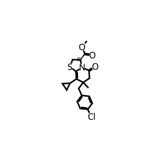 COC(=O)[C@@H]1CSC2=C(C3CC3)C(C)(Cc3ccc(Cl)cc3)CC(=O)N21